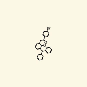 O=C(CC1C=CC=C([C](c2ccccc2)c2ccccc2)C1=O)c1ccc(Br)cc1